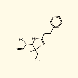 CCC(F)(F)C(NC(=O)OCc1ccccc1)C(O)C=O